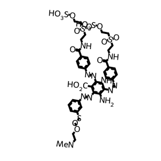 CNCCOOSc1cccc(N=Nc2c(N)c(/N=N\c3ccc(C(=O)NCCS(=O)(=O)CCOS(=O)(=O)O)cc3)c(N)c(N=Nc3ccc(C(=O)NCCS(=O)(=O)CCOS(=O)(=O)O)cc3)c2C(=O)O)c1